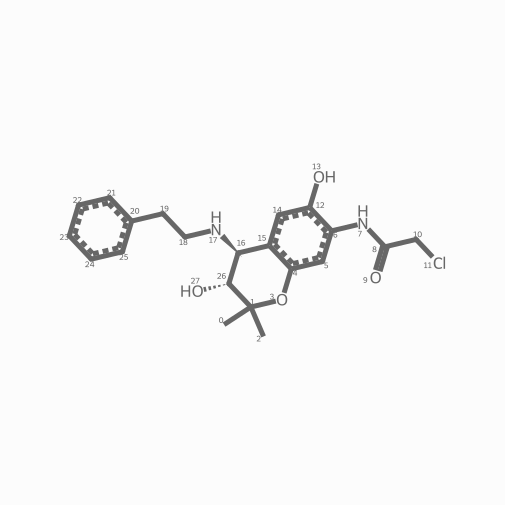 CC1(C)Oc2cc(NC(=O)CCl)c(O)cc2[C@H](NCCc2ccccc2)[C@H]1O